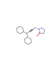 O=C1CCCN1CC#CC(C1CCCCC1)C1CCCCC1